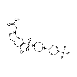 O=C(O)Cn1ccc2cc(Br)c(S(=O)(=O)N3CCN(c4ccc(C(F)(F)F)cc4)CC3)cc21